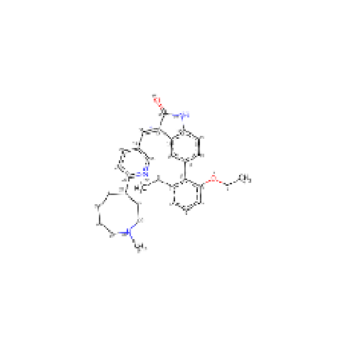 CCOc1cccc(CC)c1-c1ccc2c(c1)/C(=C\c1ccc(C3CCCCN(C)CC3)nc1)C(=O)N2